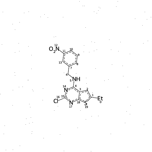 CCc1cc2c(NCc3cccc([N+](=O)[O-])c3)nc(Cl)nc2s1